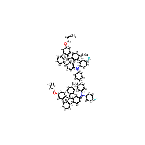 C=CCOc1ccc(C2(c3ccc(C(C)(C)C)cc3)c3ccccc3-c3ccc(N(c4ccc(F)cc4)c4ccc(-c5ccc(N(c6ccc(F)cc6)c6ccc7c(c6)C(c6ccc(OCC=C)cc6)(c6ccc(C(C)(C)C)cc6)c6ccccc6-7)cc5)cc4)cc32)cc1